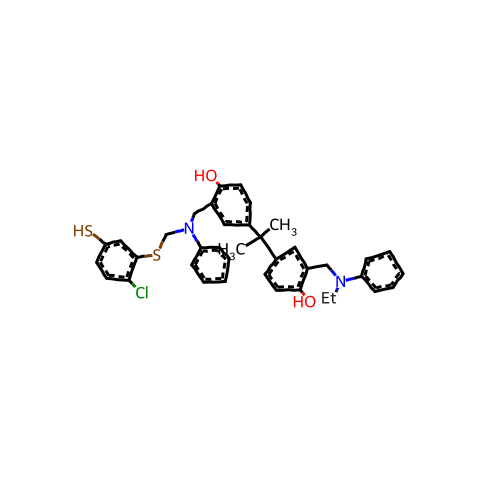 CCN(Cc1cc(C(C)(C)c2ccc(O)c(CN(CSc3cc(S)ccc3Cl)c3ccccc3)c2)ccc1O)c1ccccc1